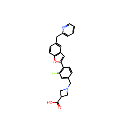 O=C(O)C1CN(Cc2ccc(-c3cc4cc(Cc5ccccn5)ccc4o3)c(F)c2)C1